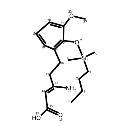 CCCC[Si](C)(C)Oc1c(CC/C(N)=C/C(=O)O)cccc1OC